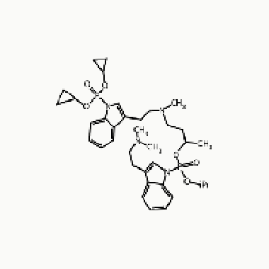 CC(C)OP(=O)(OC(C)CCN(C)CCc1cn(P(=O)(OC2CC2)OC2CC2)c2ccccc12)n1cc(CCN(C)C)c2ccccc21